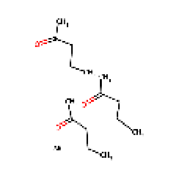 CCCC(C)=O.CCCC(C)=O.CCCC(C)=O.[Al]